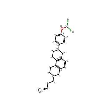 C=CCC[C@H]1CCc2c(ccc3c2CC[C@H](c2ccc(OC(F)F)cc2)C3)C1